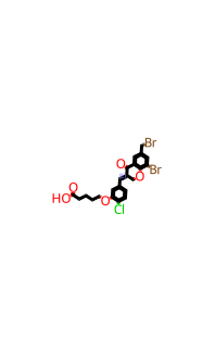 O=C(O)CCCCOc1cc(/C=C2\COc3c(Br)cc(CBr)cc3C2=O)ccc1Cl